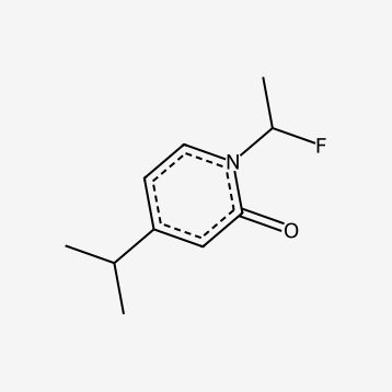 CC(C)c1ccn(C(C)F)c(=O)c1